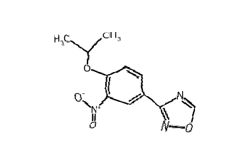 CC(C)Oc1ccc(-c2ncon2)cc1[N+](=O)[O-]